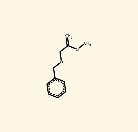 C=C(COCc1ccccc1)OC